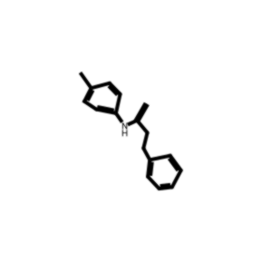 C=C(CCc1ccccc1)Nc1ccc(C)cc1